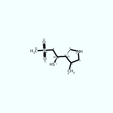 CC1CNC[C@H]1[C@@H](S)CS(C)(=O)=O